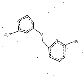 CC(C)c1cccc(COc2cccc([N+](=O)[O-])c2)n1